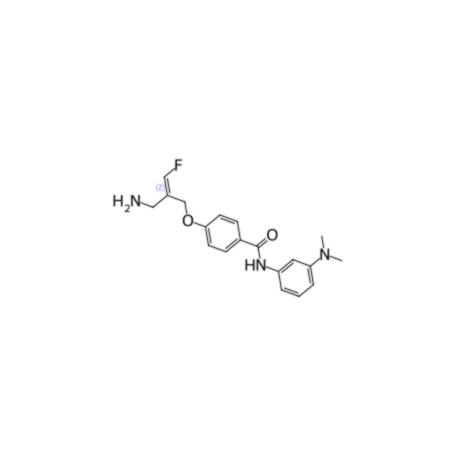 CN(C)c1cccc(NC(=O)c2ccc(OC/C(=C\F)CN)cc2)c1